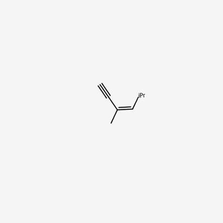 C#CC(C)=CC(C)C